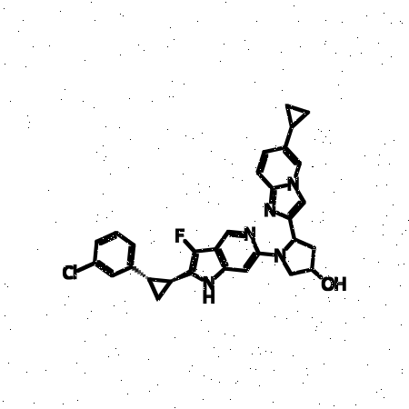 OC1CC(c2cn3cc(C4CC4)ccc3n2)N(c2cc3[nH]c([C@H]4C[C@@H]4c4cccc(Cl)c4)c(F)c3cn2)C1